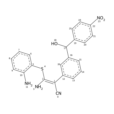 N#C/C(=C(\N)Sc1ccccc1N)c1cccc(C(O)c2ccc([N+](=O)[O-])cc2)c1